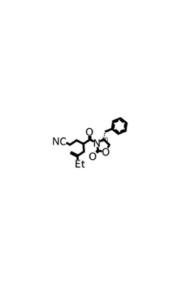 C=C(CC)CC(CCC#N)C(=O)N1C(=O)OC[C@H]1Cc1ccccc1